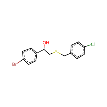 OC(CSCc1ccc(Cl)cc1)c1ccc(Br)cc1